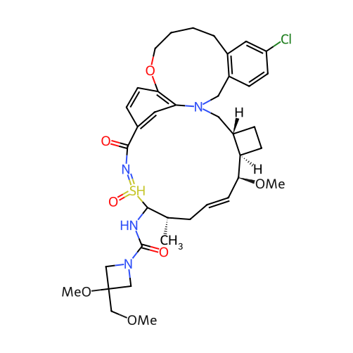 COCC1(OC)CN(C(=O)NC2[C@@H](C)C/C=C/[C@H](OC)[C@@H]3CC[C@H]3CN3Cc4ccc(Cl)cc4CCCCOc4ccc(cc43)C(=O)/N=[SH]\2=O)C1